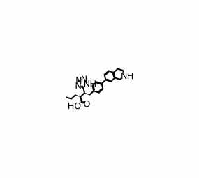 CCC[C@H](C(=O)O)[C@H](Cc1ccc(-c2ccc3c(c2)CNCC3)cc1)c1nnn[nH]1